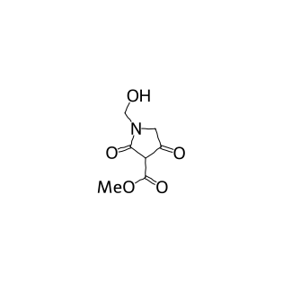 COC(=O)C1C(=O)CN(CO)C1=O